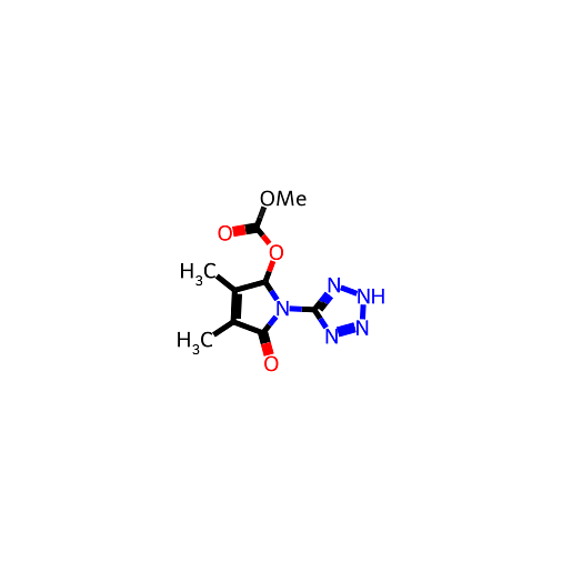 COC(=O)OC1C(C)=C(C)C(=O)N1c1nn[nH]n1